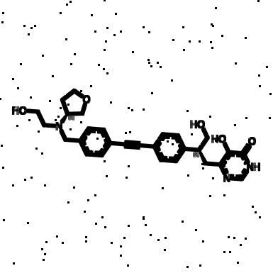 O=c1[nH]cnc(C[C@H](CO)c2ccc(C#Cc3ccc(CN(CCO)[C@H]4CCOC4)cc3)cc2)c1O